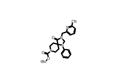 CC(C)(C)OC(=O)N1CCC2(CC1)C(=O)N(Cc1cccc(C#N)n1)CN2c1ccccc1